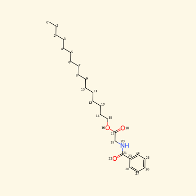 CCCCCCCCCCCCCCCCOC(=O)CNC(=O)c1ccccc1